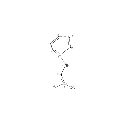 C[N+]([O-])=NNc1cccnc1